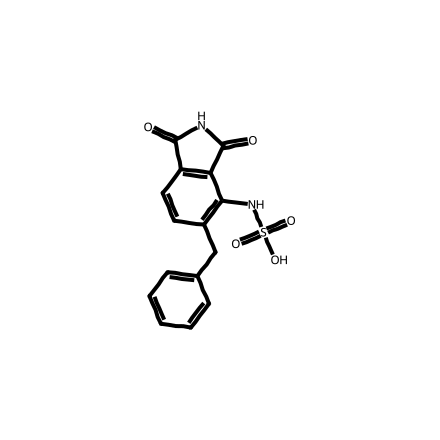 O=C1NC(=O)c2c1ccc(Cc1ccccc1)c2NS(=O)(=O)O